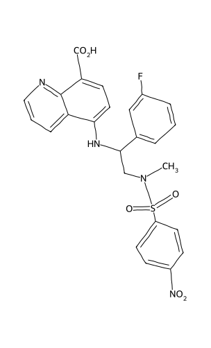 CN(CC(Nc1ccc(C(=O)O)c2ncccc12)c1cccc(F)c1)S(=O)(=O)c1ccc([N+](=O)[O-])cc1